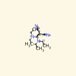 CCN(CC)C(=C(C#N)C#N)N(CC)CC